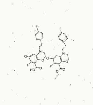 CCOC(=O)c1c(F)c(Cl)cc2c1OCCN2CCc1ccc(F)cc1.O=C(O)c1c(F)c(Cl)cc2c1OCCN2CCc1ccc(F)cc1